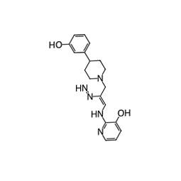 N=N/C(=C\Nc1ncccc1O)CN1CCC(c2cccc(O)c2)CC1